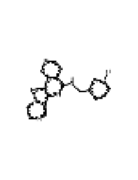 Clc1cccc(CNc2nc3c(nn4ccncc34)c3cnccc23)c1